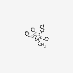 C=CCC1OC(COCc2ccccc2)C(OCc2ccccc2)C(OCc2ccc3ccccc3c2)C1OCc1ccccc1